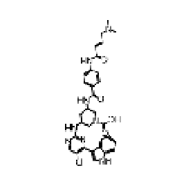 CN(C)CC=CC(=O)Nc1ccc(C(=O)NC2CC(Nc3ncc(Cl)c(-c4c[nH]c5ccccc45)n3)CN(C(=O)O)C2)cc1